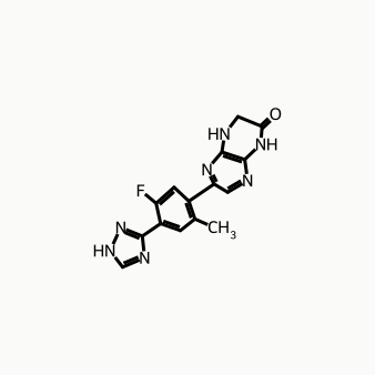 Cc1cc(-c2nc[nH]n2)c(F)cc1-c1cnc2c(n1)NCC(=O)N2